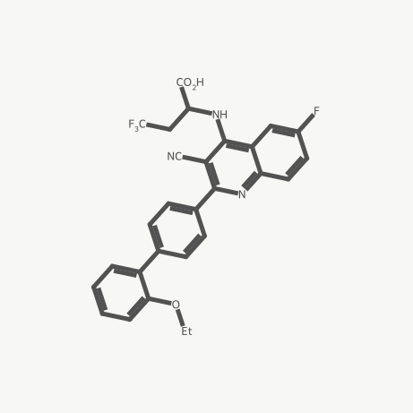 CCOc1ccccc1-c1ccc(-c2nc3ccc(F)cc3c(NC(CC(F)(F)F)C(=O)O)c2C#N)cc1